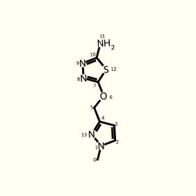 Cn1ccc(COc2nnc(N)s2)n1